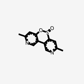 Cc1cc2c(cn1)-c1cnc(C)cc1S(=O)O2